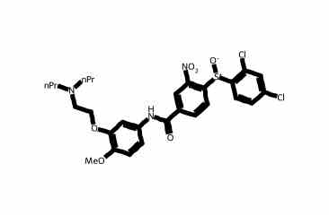 CCCN(CCC)CCOc1cc(NC(=O)c2ccc([S+]([O-])c3ccc(Cl)cc3Cl)c([N+](=O)[O-])c2)ccc1OC